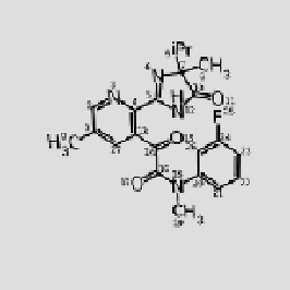 Cc1cnc(C2=NC(C)(C(C)C)C(=O)N2)c(C(=O)C(=O)N(C)c2cccc(F)c2)c1